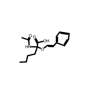 CCCCC(NC(C)=O)(OC=Cc1ccccc1)C(=O)O